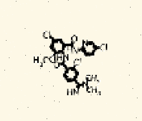 COc1cc(Cl)cc(C(=O)Nc2ccc(Cl)cn2)c1NC(=O)c1ccc(C(=N)N(C)C)cc1Cl